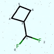 FC(F)C1C[CH]C1